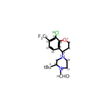 CC(C)(C)C1CN(C2CCOc3c2ccc(C(F)(F)F)c3Cl)CCN1[C]=O